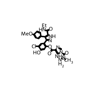 CCNC(=O)c1[nH]nc(-c2cc(Cl)c(O)cc2OC(=O)c2ncn(C(=O)N(C)N)c2N)c1-c1ccc(OC)cc1